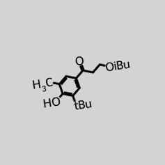 Cc1cc(C(=O)CCOCC(C)C)cc(C(C)(C)C)c1O